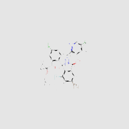 CCOC(=O)COC1(COC2(c3ccc(Cl)cc3)c3c(F)cc(Br)cc3C(=O)N2Cc2ccc(Cl)cn2)CC1